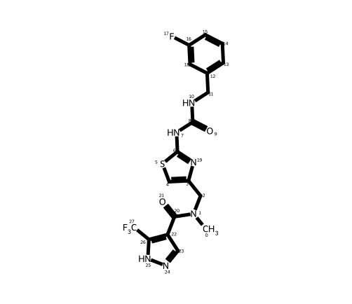 CN(Cc1csc(NC(=O)NCc2cccc(F)c2)n1)C(=O)c1cn[nH]c1C(F)(F)F